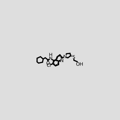 O=C(CC1CCCCC1)Nc1c(Cl)ccc2nc(N3CC[C@H](SCCO)C3)ccc12